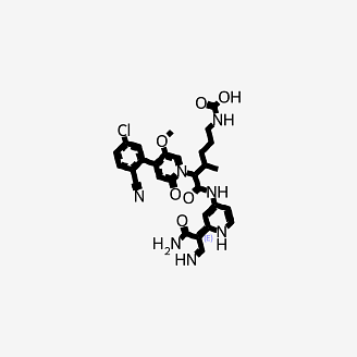 COc1cn(C(C(=O)NC2=C/C(=C(/C=N)C(N)=O)NC=C2)C(C)CCCNC(=O)O)c(=O)cc1-c1cc(Cl)ccc1C#N